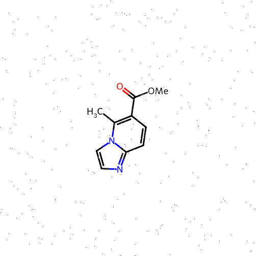 COC(=O)c1ccc2nccn2c1C